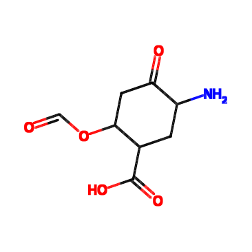 NC1CC(C(=O)O)C(OC=O)CC1=O